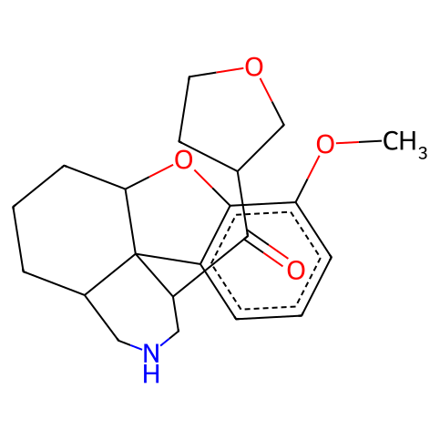 COc1cccc2c1OC1CCCC3CNCC(C(=O)C4CCOC4)C231